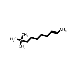 CC=CCCCCC[Si](C)(C)C